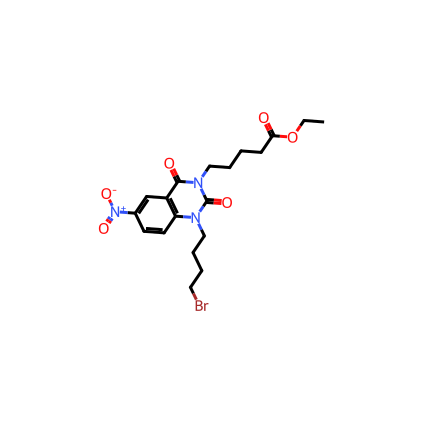 CCOC(=O)CCCCn1c(=O)c2cc([N+](=O)[O-])ccc2n(CCCCBr)c1=O